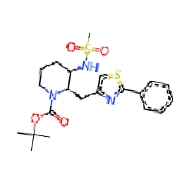 CC(C)(C)OC(=O)N1CCC[C@@H](NS(C)(=O)=O)[C@H]1Cc1csc(-c2ccccc2)n1